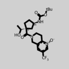 CC(O)[C@]1(C(=O)N2CCc3c(cc(C(F)(F)F)c[n+]3[O-])C2)CC[C@@H](NC(=O)OC(C)(C)C)C1